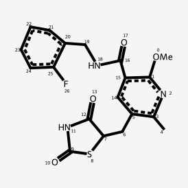 COc1nc(C)c(CC2SC(=O)NC2=O)cc1C(=O)NCc1ccccc1F